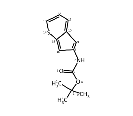 CC(C)(C)OC(=O)Nc1cc2cccsc-2c1